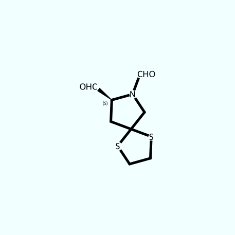 O=C[C@@H]1CC2(CN1C=O)SCCS2